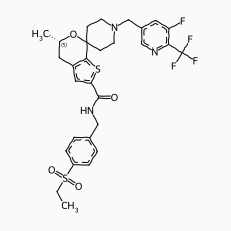 CCS(=O)(=O)c1ccc(CNC(=O)c2cc3c(s2)C2(CCN(Cc4cnc(C(F)(F)F)c(F)c4)CC2)O[C@@H](C)C3)cc1